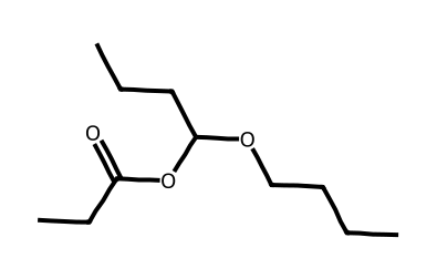 CCCCOC(CCC)OC(=O)CC